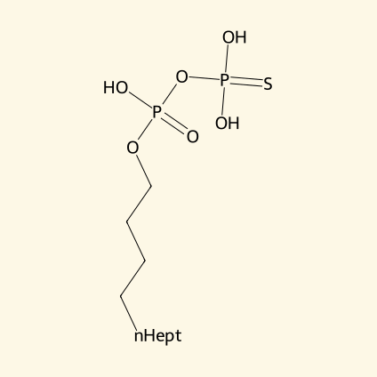 CCCCCCCCCCCOP(=O)(O)OP(O)(O)=S